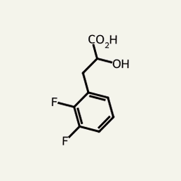 O=C(O)C(O)Cc1cccc(F)c1F